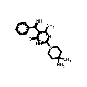 CC1(N)CCN(c2nc(N)c(C(=N)c3ccccc3)c(=O)[nH]2)CC1